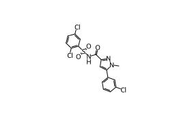 Cn1nc(C(=O)NS(=O)(=O)c2cc(Cl)ccc2Cl)cc1-c1cccc(Cl)c1